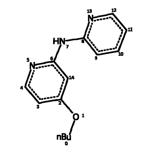 CCCCOc1ccnc(Nc2ccccn2)c1